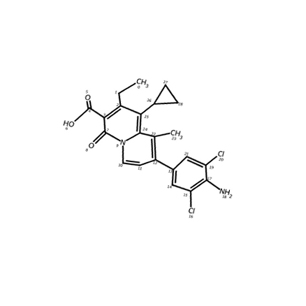 CCc1c(C(=O)O)c(=O)n2ccc(-c3cc(Cl)c(N)c(Cl)c3)c(C)c2c1C1CC1